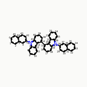 c1ccc2cc(-n3c4ccccc4c4c(-c5cccc6c5c5ccccc5n6-c5ccc6ccccc6c5)cccc43)ccc2c1